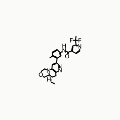 CC[C@H]1Cc2nnc(-c3cc(NC(=O)c4ccnc(C(C)(F)F)c4)ccc3C)cc2N2CCOC[C@H]12